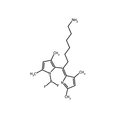 CC1=CC(C)=NC1=C(CCCCCCN)c1c(C)cc(C)n1B(F)F